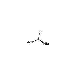 CCCC[C@H](CC)OC(C)=O